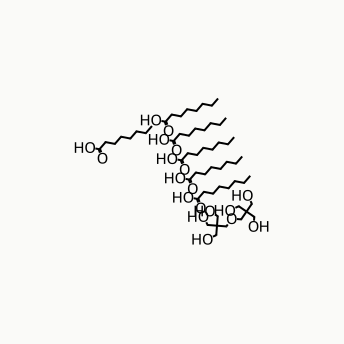 CCCCCCCC(=O)O.CCCCCCCC(=O)O.CCCCCCCC(=O)O.CCCCCCCC(=O)O.CCCCCCCC(=O)O.CCCCCCCC(=O)O.OCC(CO)(CO)COCC(CO)(CO)CO